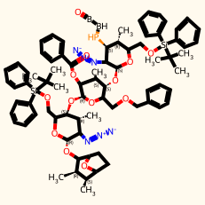 C[C@@H]1C(N=[N+]=[N-])[C@H](OC2C3CCC(O3)[C@@H](C)[C@H]2C)OC(CO[Si](c2ccccc2)(c2ccccc2)C(C)(C)C)[C@H]1O[C@@H]1OC(COCc2ccccc2)[C@@H](O[C@@H]2OC(CO[Si](c3ccccc3)(c3ccccc3)C(C)(C)C)[C@@H](C)[C@H](PBB=O)C2N=[N+]=[N-])[C@H](C)C1OC(=O)c1ccccc1